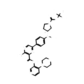 CN(c1ccc(-c2cnc(N)c(C(=O)Nc3cnccc3N3CCOCC3)n2)cc1)[C@@H]1CCN(C(=O)OC(C)(C)C)C1